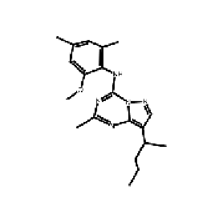 CCCC(C)c1cnn2c(Nc3c(C)cc(C)cc3OC)nc(C)nc12